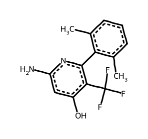 Cc1cccc(C)c1-c1nc(N)cc(O)c1C(F)(F)F